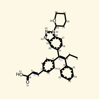 CC/C(=C(/c1ccc(/C=C/C(=O)O)cc1)c1ccc2c(c1)nnn2C1CCCCO1)c1ccccc1